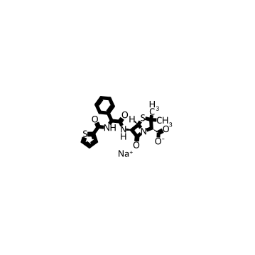 CC1(C)S[C@@H]2[C@H](NC(=O)C(NC(=O)c3cccs3)C3=CCC=CC3)C(=O)N2[C@H]1C(=O)[O-].[Na+]